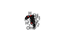 C=C(C)[C@@H]1CC[C@]2(NCCN3C4CCCC3COC4)CC[C@]3(C)[C@H](CC[C@@H]4[C@@]5(C)CC=C(c6ccc(OC=O)cc6)C(C)(C)[C@@H]5CC[C@]43C)[C@@H]12